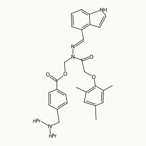 CCCN(CCC)Cc1ccc(C(=O)OCN(/N=C/c2cccc3[nH]ccc23)C(=O)COc2c(C)cc(C)cc2C)cc1